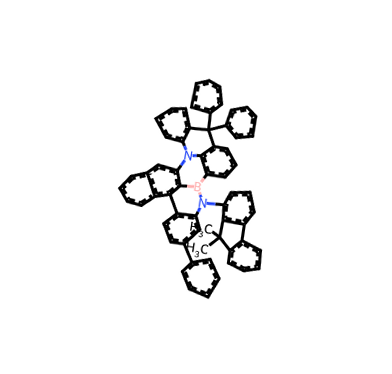 CC1(C)c2ccccc2-c2cccc(N3B4c5cccc6c5N(c5ccccc5C6(c5ccccc5)c5ccccc5)c5cc6ccccc6c(c54)-c4ccc(-c5ccccc5)cc43)c21